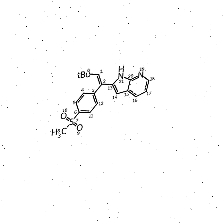 CC(C)(C)C=C(c1ccc(S(C)(=O)=O)cc1)c1cc2cccnc2[nH]1